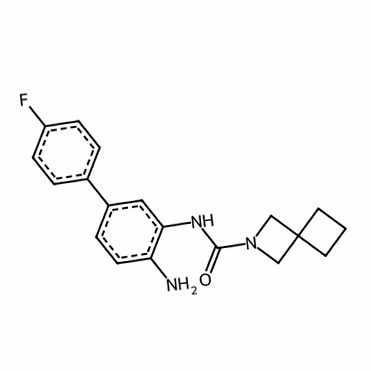 Nc1ccc(-c2ccc(F)cc2)cc1NC(=O)N1CC2(CCC2)C1